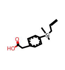 C=CC[Si](C)(C)c1ccc(CC(=O)O)cc1